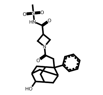 CS(=O)(=O)NC(=O)C1CN(C(=O)CC2(c3ccccc3)C3CC4CC2CC(C3)C4O)C1